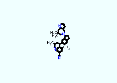 C=C(C#N)CC(c1ccc2c(c1)C(N1Cc3cccnc3CC(C)(C)C1)CC2)c1ccc(C#N)cc1C